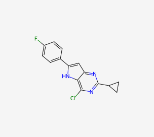 Fc1ccc(-c2cc3nc(C4CC4)nc(Cl)c3[nH]2)cc1